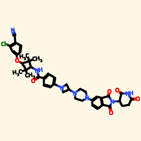 CC1(C)C(NC(=O)c2ccc(N3CC(N4CCN(c5ccc6c(c5)C(=O)N(C5CCC(=O)NC5=O)C6=O)CC4)C3)cc2)C(C)(C)C1Oc1ccc(C#N)c(Cl)c1